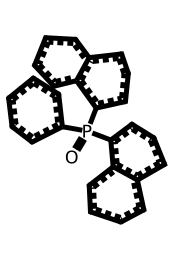 O=P(c1ccccc1)(c1cccc2ccccc12)c1cccc2ccccc12